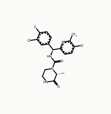 C[C@@H]1C(=O)NCCN1C(=O)N[C@@H](c1ccc(F)c(Cl)c1)c1ccc(Cl)c(C(F)(F)F)n1